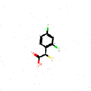 O=C(O)C(S)c1ccc(Cl)cc1Cl